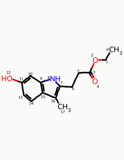 CCOC(=O)CCc1[nH]c2cc(O)ccc2c1C